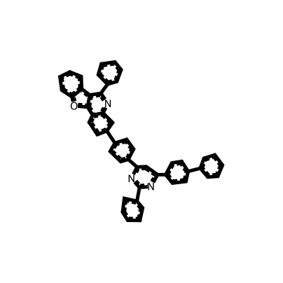 c1ccc(-c2ccc(-c3cc(-c4ccc(-c5ccc6c(c5)nc(-c5ccccc5)c5c7ccccc7oc65)cc4)nc(-c4ccccc4)n3)cc2)cc1